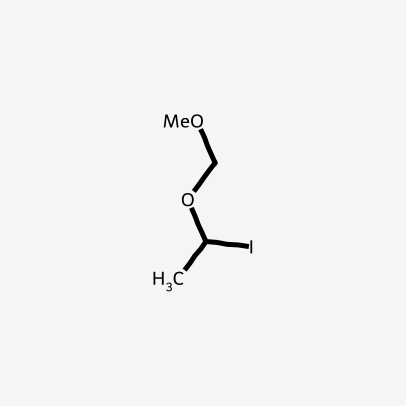 COCOC(C)I